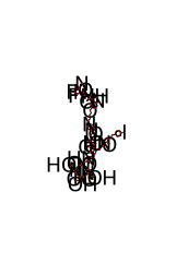 N#C[C@H]1CC(F)(F)CN1C(=O)CNC(=O)c1ccnc2ccc(OCCCCN3CCN(C(=O)CCCN4C(=O)CC(SC(CCCCCNC(=O)CCCc5ccc(I)cc5)CNC(=O)CN5CCN(CC(=O)O)CCN(CC(=O)O)CCN(CC(=O)O)CC5)C4=O)CC3)cc12